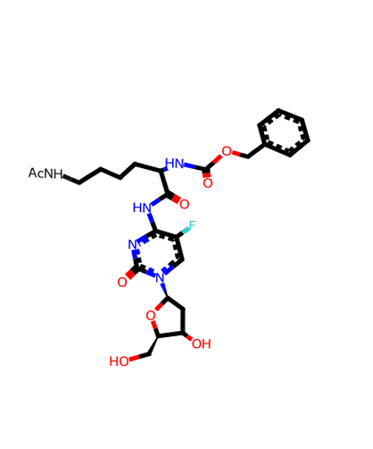 CC(=O)NCCCCC(NC(=O)OCc1ccccc1)C(=O)Nc1nc(=O)n([C@H]2CC(O)[C@@H](CO)O2)cc1F